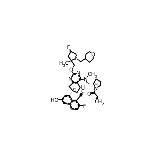 C#Cc1c(F)ccc2cc(O)cc([C@H]3CCc4c(nc(OC[C@]5(C)C[C@@H](F)CN5CC5CCOCC5)nc4N(C)C[C@@H]4CCCN4C(=O)C=C)C3)c12